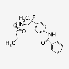 CCCS(=O)(=O)NCC(C)(F)c1ccc(NC(=O)c2ccccc2)cc1